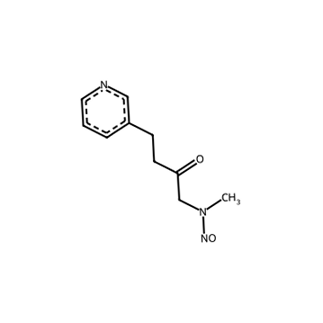 CN(CC(=O)CCc1cccnc1)N=O